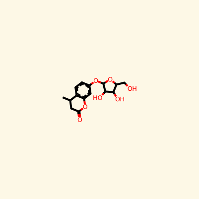 CC1CC(=O)Oc2cc(OC3OC(CO)C(O)C3O)ccc21